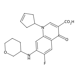 O=C(O)c1cn(C2CC=CC2)c2cc(NC3CCCOC3)c(F)cc2c1=O